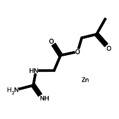 CC(=O)COC(=O)CNC(=N)N.[Zn]